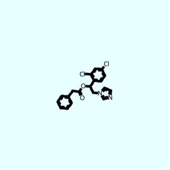 O=C(Cc1ccccc1)OC(Cn1ccnc1)c1ccc(Cl)cc1Cl